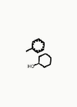 Cc1ccccc1.OC1CCCCC1